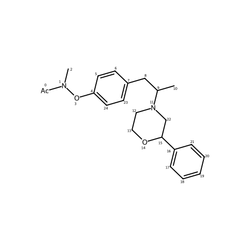 CC(=O)N(C)Oc1ccc(CC(C)N2CCOC(c3ccccc3)C2)cc1